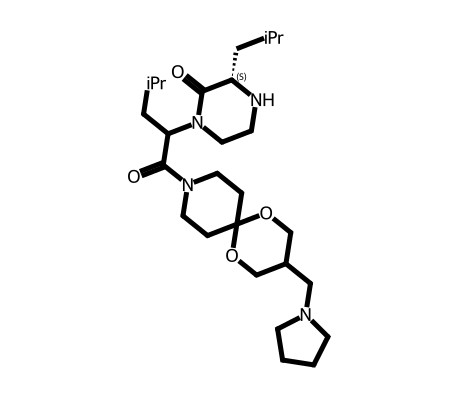 CC(C)CC(C(=O)N1CCC2(CC1)OCC(CN1CCCC1)CO2)N1CCN[C@@H](CC(C)C)C1=O